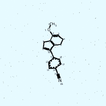 COC1=CCCC2=C1CC=C2c1ccc(C#N)cc1